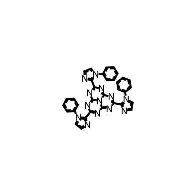 c1ccc(-n2ccnc2C2=NC3=NC(c4nccn4-c4ccccc4)=NC4=NC(c5nccn5-c5ccccc5)=NC(=N2)N34)cc1